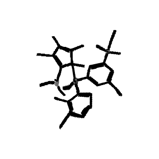 CC1=C(C)C(C)([Si](C)(c2cc(C)cc([Si](C)(C)C)c2)c2cccc(C)c2C)[C]([Ti]([CH3])[CH3])=C1C